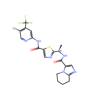 C[C@@H](NC(=O)c1cnc2n1CCCC2)c1ncc(C(=O)Nc2cc(C(F)(F)F)c(Cl)cn2)s1